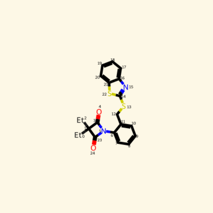 CCC1(CC)C(=O)N(c2ccccc2CSc2nc3ccccc3s2)C1=O